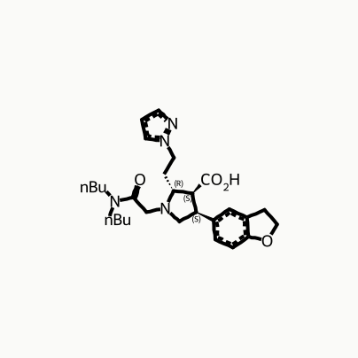 CCCCN(CCCC)C(=O)CN1C[C@H](c2ccc3c(c2)CCO3)[C@H](C(=O)O)[C@H]1CCn1cccn1